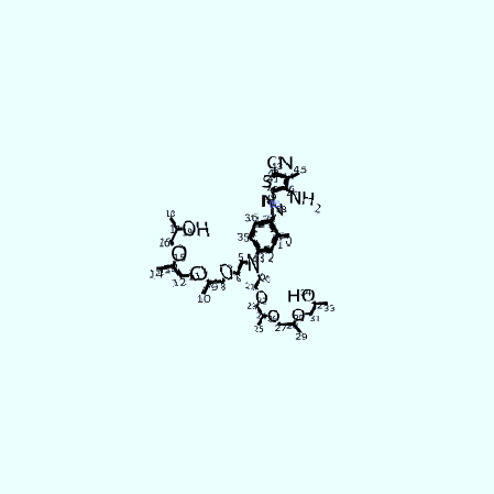 Cc1cc(N(CCOCC(C)OCC(C)OCC(C)O)CCOCC(C)OCC(C)OCC(C)O)ccc1/N=N/c1sc(C#N)c(C)c1N